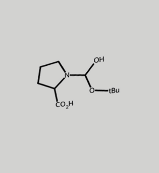 CC(C)(C)OC(O)N1CCCC1C(=O)O